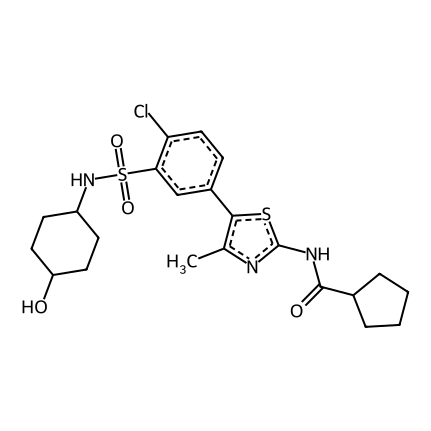 Cc1nc(NC(=O)C2CCCC2)sc1-c1ccc(Cl)c(S(=O)(=O)NC2CCC(O)CC2)c1